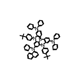 CC(C)(C)c1ccc(N2c3cc(N(c4ccccc4)c4ccccc4)ccc3B3c4ccc(N(c5ccccc5)c5ccccc5)cc4N(c4ccc(C(C)(C)C)cc4)c4cc(N(c5ccccc5)c5cccc6ccccc56)cc2c43)cc1